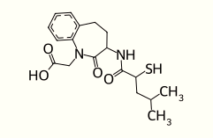 CC(C)CC(S)C(=O)NC1CCc2ccccc2N(CC(=O)O)C1=O